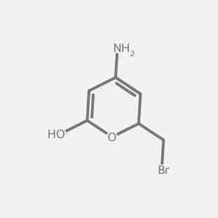 NC1=CC(CBr)OC(O)=C1